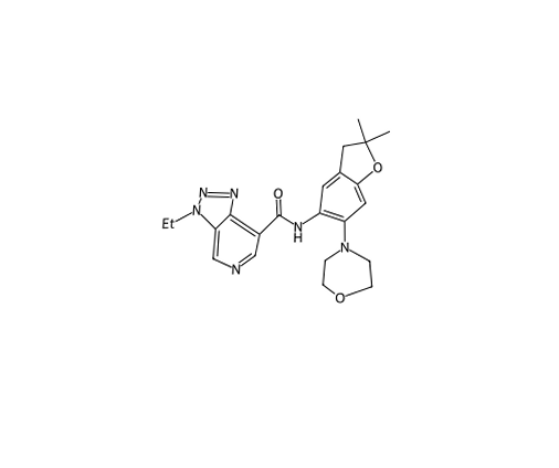 CCn1nnc2c(C(=O)Nc3cc4c(cc3N3CCOCC3)OC(C)(C)C4)cncc21